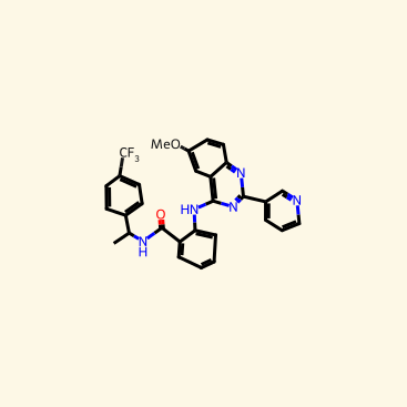 COc1ccc2nc(-c3cccnc3)nc(Nc3ccccc3C(=O)NC(C)c3ccc(C(F)(F)F)cc3)c2c1